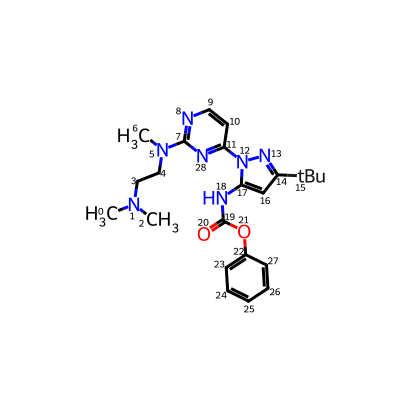 CN(C)CCN(C)c1nccc(-n2nc(C(C)(C)C)cc2NC(=O)Oc2ccccc2)n1